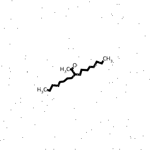 CCCCCCCCC(CCCCCCCC)C(C)[O]